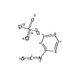 O=C=Nc1ccccc1.O=S(=O)(Cl)Cl